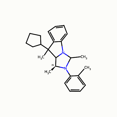 Cc1ccccc1N1C(C)N2c3ccccc3C(C)(C3CCCC3)C2[C@@H]1C